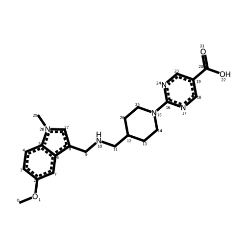 COc1ccc2c(c1)c(CNCC1CCN(c3ncc(C(=O)O)cn3)CC1)cn2C